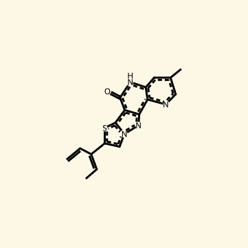 C=C/C(=C\C)c1cn2nc3c4ncc(C)cc4[nH]c(=O)c3c2s1